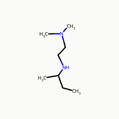 CCC(C)NCCN(C)C